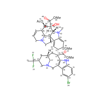 CC[C@]12C=CCN3CC[C@@]4(C5=CC([C@@]6(C(=O)OC)C[C@H]7CC(C(C)(F)F)CN(Cc8c6[nH]c6ccc(Br)cc86)C7)C(OC)C=C5N(C)[C@H]4[C@@](O)(C(=O)OC)[C@@H]1OC(C)=O)[C@@H]32